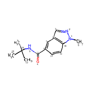 Cn1ncc2cc(C(=O)NC(C)(C)C)ccc21